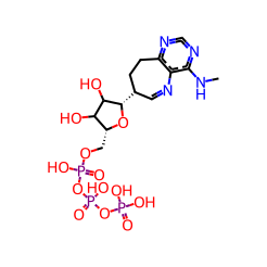 CNc1ncnc2c1N=CC([C@@H]1O[C@H](COP(=O)(O)OP(=O)(O)OP(=O)(O)O)C(O)C1O)CC2